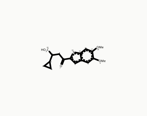 COc1cc2cc(C(=O)CC(C(=O)O)C3CC3)sc2cc1OC